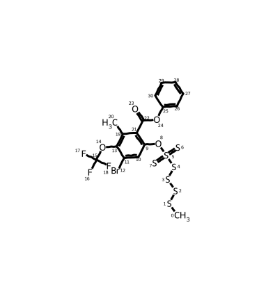 CSSSSS(=S)(=S)Oc1cc(Br)c(OC(F)(F)F)c(C)c1C(=O)Oc1ccccc1